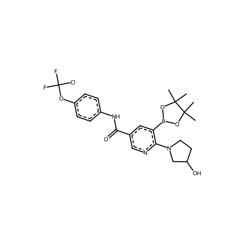 CC1(C)OB(c2cc(C(=O)Nc3ccc(OC(F)(F)Cl)cc3)cnc2N2CCC(O)C2)OC1(C)C